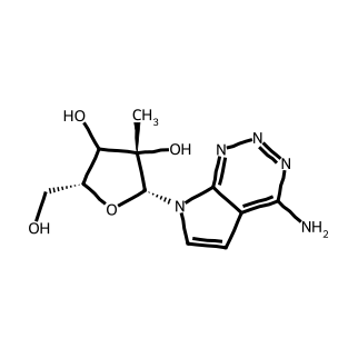 C[C@]1(O)C(O)[C@@H](CO)O[C@H]1n1ccc2c(N)nnnc21